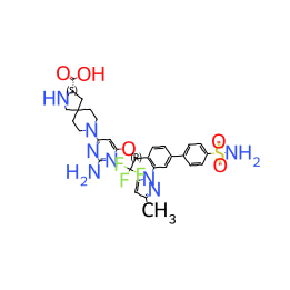 Cc1ccn(-c2cc(-c3ccc(S(N)(=O)=O)cc3)ccc2[C@@H](Oc2cc(N3CCC4(CC3)CN[C@H](C(=O)O)C4)nc(N)n2)C(F)(F)F)n1